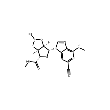 CNC(=O)[C@H]1O[C@@H](n2cnc3c(NC)nc(C#N)nc32)[C@@H]2OP(O)O[C@@H]21